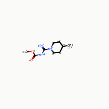 CC(C)(C)OC(=O)NC(=N)N1CCC(C(=O)O)CC1